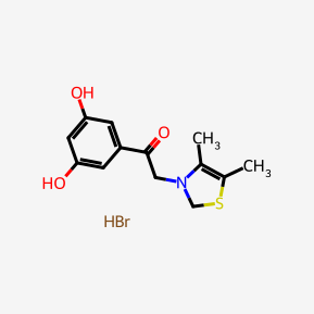 Br.CC1=C(C)N(CC(=O)c2cc(O)cc(O)c2)CS1